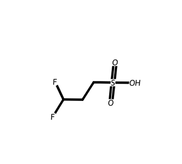 O=S(=O)(O)CCC(F)F